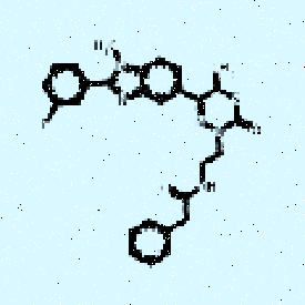 CC1SC(=O)N(CCNC(=O)Cc2ccccc2)N=C1c1ccc2c(c1)nc(-c1cccc(F)c1)n2C